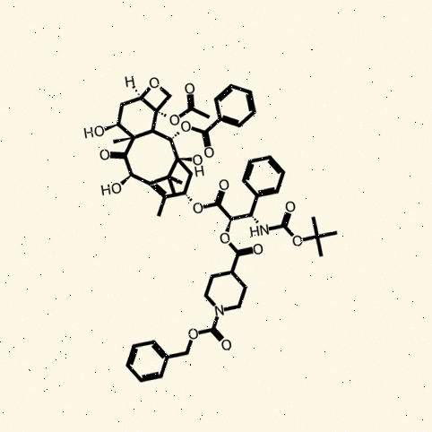 CC(=O)O[C@@]12CO[C@@H]1C[C@H](O)[C@@]1(C)C(=O)[C@H](O)C3=C(C)[C@@H](OC(=O)[C@H](OC(=O)C4CCN(C(=O)OCc5ccccc5)CC4)[C@@H](NC(=O)OC(C)(C)C)c4ccccc4)C[C@@](O)([C@@H](OC(=O)c4ccccc4)C12)C3(C)C